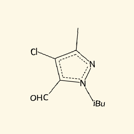 CCC(C)n1nc(C)c(Cl)c1C=O